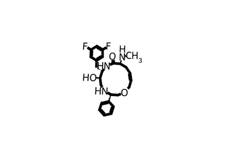 CN[C@H]1CC=CCOC[C@@H](c2ccccc2)NC[C@@H](O)[C@H](Cc2cc(F)cc(F)c2)NC1=O